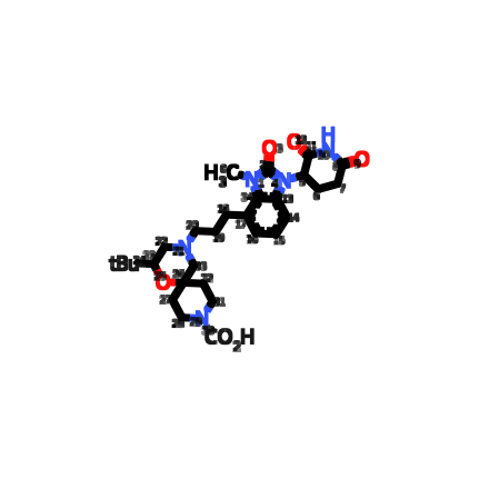 Cn1c(=O)n(C2CCC(=O)NC2=O)c2cccc(CCCN3CC(C(C)(C)C)OC4(CCN(C(=O)O)CC4)C3)c21